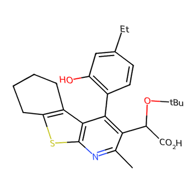 CCc1ccc(-c2c(C(OC(C)(C)C)C(=O)O)c(C)nc3sc4c(c23)CCCC4)c(O)c1